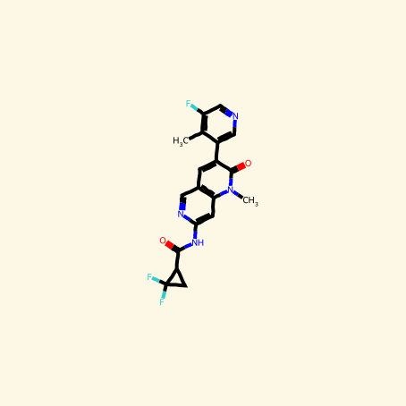 Cc1c(F)cncc1-c1cc2cnc(NC(=O)C3CC3(F)F)cc2n(C)c1=O